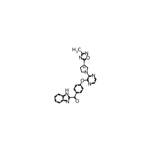 Cc1noc([C@@H]2CCN(c3nccnc3Oc3ccc(C(=O)c4nc5ccccc5[nH]4)cc3)C2)n1